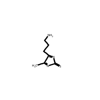 CC1=NC(=S)N=C1CCCN